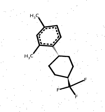 Cc1ccc([C@H]2CC[C@H](C(F)(F)F)CC2)c(C)c1